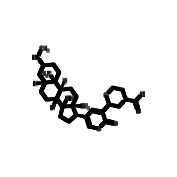 CNC1CC[C@@]2(C)[C@H](CC[C@@H]3[C@@H]2CC[C@]2(C)[C@@H](c4coc(=O)c(C5CN(C(=O)Cl)CCO5)c4)CC[C@]32O)C1